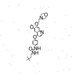 COc1cc2c(Oc3ccc(NC(=O)NCCC(C)(C)C)cc3)ccnc2cc1OCCN1CCOCC1